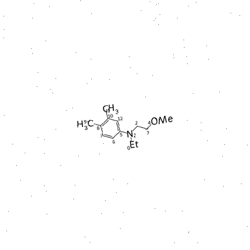 CCN(CCOC)c1ccc(C)c(C)c1